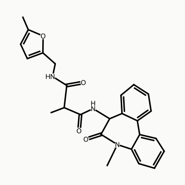 Cc1ccc(CNC(=O)C(C)C(=O)NC2C(=O)N(C)c3ccccc3-c3ccccc32)o1